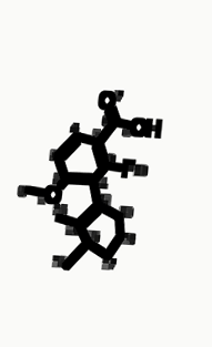 COc1ccc(C(=O)O)c(F)c1C1=C(C)C(C)CCC1